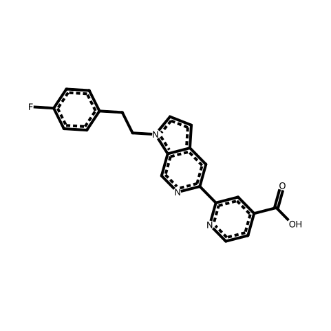 O=C(O)c1ccnc(-c2cc3ccn(CCc4ccc(F)cc4)c3cn2)c1